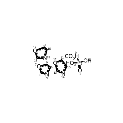 O=C(O)P(=O)(O)O.c1cocn1.c1cocn1.c1cocn1